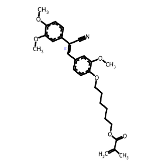 C=C(C)C(=O)OCCCCCCOc1ccc(/C=C(\C#N)c2ccc(OC)c(OC)c2)cc1OC